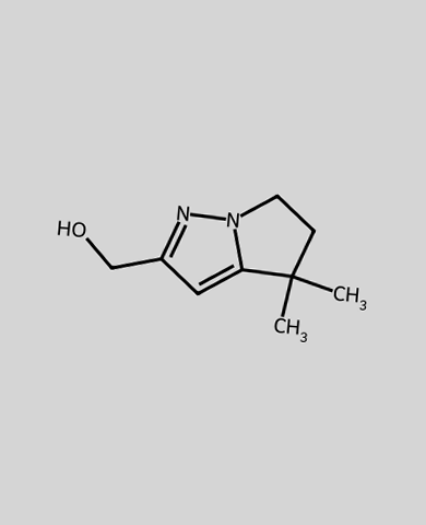 CC1(C)CCn2nc(CO)cc21